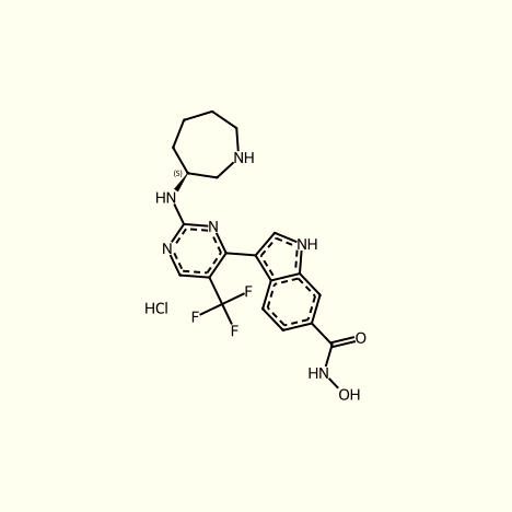 Cl.O=C(NO)c1ccc2c(-c3nc(N[C@H]4CCCCNC4)ncc3C(F)(F)F)c[nH]c2c1